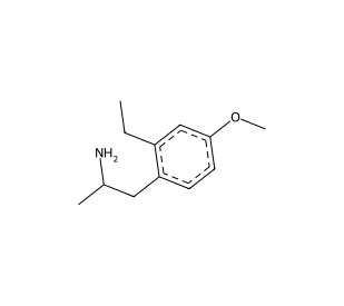 CCc1cc(OC)ccc1CC(C)N